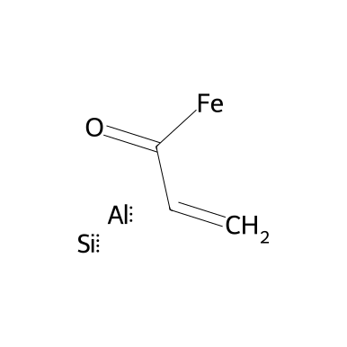 C=C[C](=O)[Fe].[Al].[Si]